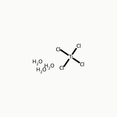 O.O.O.[Cl][Ti]([Cl])([Cl])[Cl]